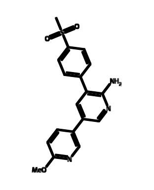 COc1ccc(-c2cnc(N)c(-c3ccc(S(C)(=O)=O)cc3)c2)cn1